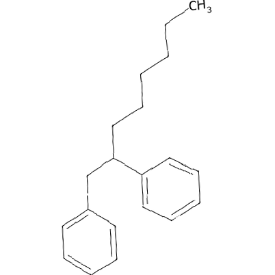 CCCCCCC(Cc1ccccc1)c1ccccc1